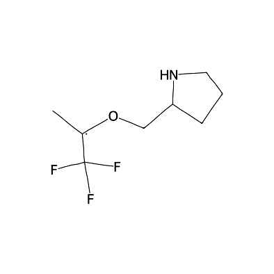 C[C](OCC1CCCN1)C(F)(F)F